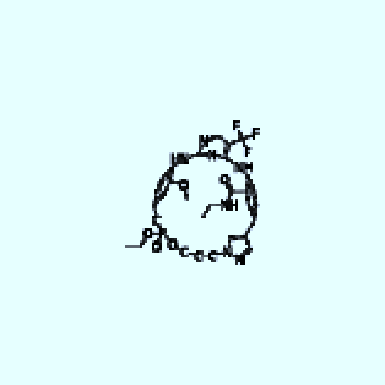 CCNC(=O)c1cc2ccc1Nc1nc(ncc1C(F)(F)F)Nc1ccc(cc1OC)CP(=O)(OCC)OCCCn1cc-2cn1